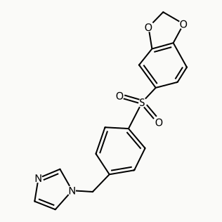 O=S(=O)(c1ccc(Cn2ccnc2)cc1)c1ccc2c(c1)OCO2